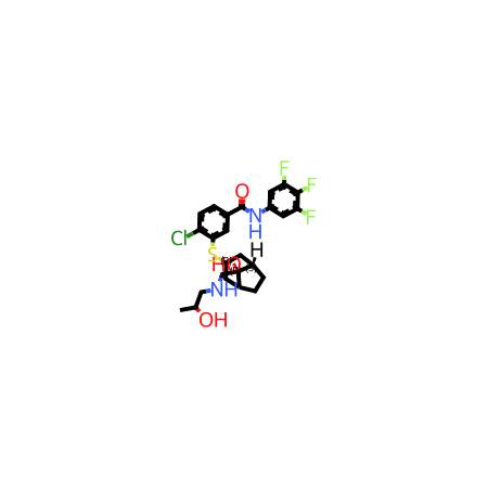 CC(O)CNC[C@@]1(O)C2CC[C@H]1C[C@H](Sc1cc(C(=O)Nc3cc(F)c(F)c(F)c3)ccc1Cl)C2